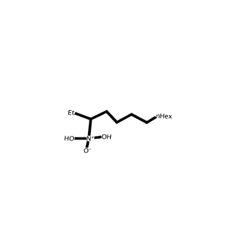 CCCCCCCCCCC(CC)[N+]([O-])(O)O